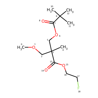 COCC(C)(COC(=O)C(C)(C)C)C(=O)OCCF